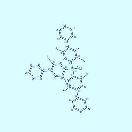 Cc1cc([Si](Cl)(c2cc(C)c(-c3ccccc3)cc2C)c2cc(C)c(-c3ccccc3)cc2C)c(C)cc1-c1ccccc1